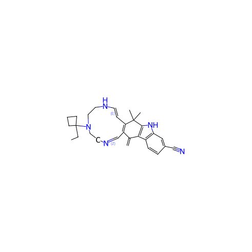 C=C1C2=C(/C=C/NCCN(C3(CC)CCC3)CC/N=C\2)C(C)(C)c2[nH]c3cc(C#N)ccc3c21